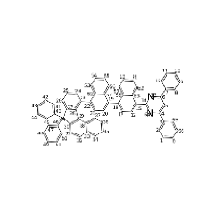 c1ccc(-c2cc(-c3ccccc3)nc(-c3ccc(-c4ccc(-c5cccc6c5-c5c(ccc7ccccc57)C6(c5ccccc5)c5ccccc5)c5ccccc45)c4ccccc34)n2)cc1